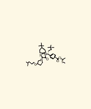 CSC(C)OC(=O)c1ccc([C@@H](CCC(C)(C)C)N2C(=O)C(N3CCC(OCCCC(C)C)C3)=NC23CCC(C(C)(C)C)CC3)cc1